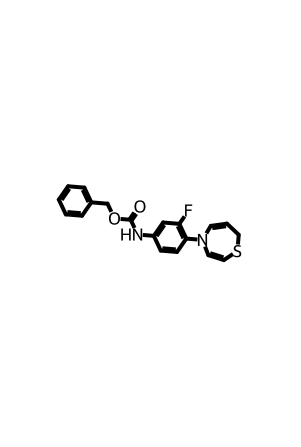 O=C(Nc1ccc(N2C=CCSC=C2)c(F)c1)OCc1ccccc1